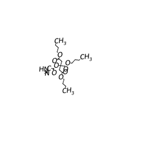 CCCCOC(=O)CC(CC(=O)OCCCC)(OC(C)=O)C(=O)OCCCC.N#N